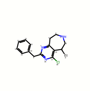 CCC1CNCCc2nc(Cc3ccccc3)nc(Cl)c21